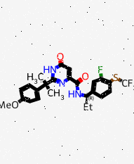 CC[C@@H](NC(=O)c1cc(=O)[nH]c(C(C)(C)c2ccc(OC)cc2)n1)c1ccc(SC(F)(F)F)c(F)c1